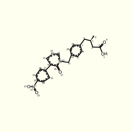 C[C@@H](CC(=O)O)Cc1ccc(Cn2cncc(-c3ccc([N+](=O)[O-])cc3)c2=O)cc1